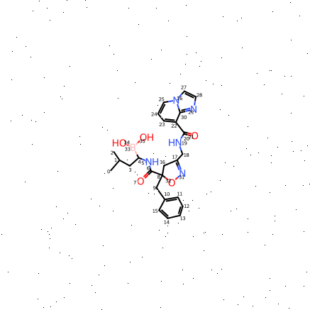 CC(C)CC(NC(=O)C1(Cc2ccccc2)CC(CNC(=O)c2cccn3ccnc23)=NO1)B(O)O